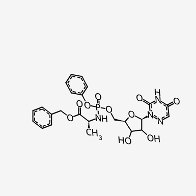 C[C@H](NP(=O)(OC[C@H]1O[C@@H](n2ncc(=O)[nH]c2=O)C(O)C1O)Oc1ccccc1)C(=O)OCc1ccccc1